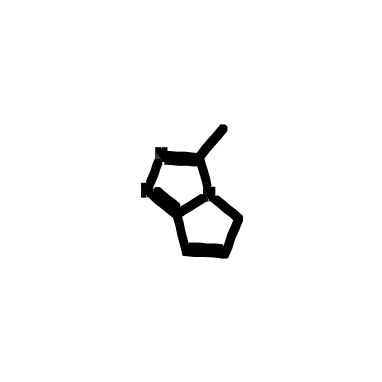 Cc1nnc2n1CC=C2